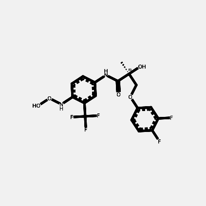 C[C@](O)(COc1ccc(F)c(F)c1)C(=O)Nc1ccc(NOO)c(C(F)(F)F)c1